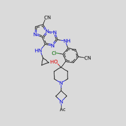 CC(=O)N1CC(N2CCC(O)(c3cc(C#N)cc(Nc4nc(NC5CC5)c5ncc(C#N)n5n4)c3Cl)CC2)C1